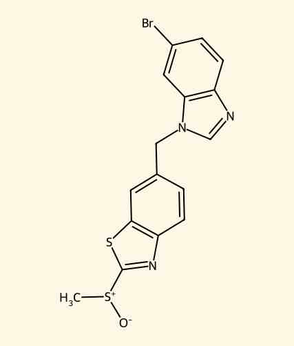 C[S+]([O-])c1nc2ccc(Cn3cnc4ccc(Br)cc43)cc2s1